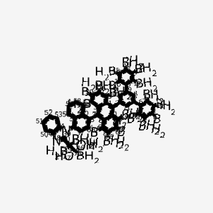 Bc1c(B)c(B)c(-c2cc(-c3c(B)c(B)c(B)c(B)c3B)cc(-c3c4c(B)c(B)c(B)c(B)c4c(-c4ccc(-n5c(C(B)(B)C(B)(O)O)nc6ccccc65)c5ccccc45)c4c(B)c(B)c(B)c(B)c34)c2)c(B)c1B